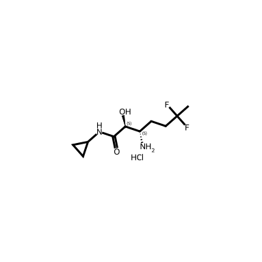 CC(F)(F)CC[C@H](N)[C@H](O)C(=O)NC1CC1.Cl